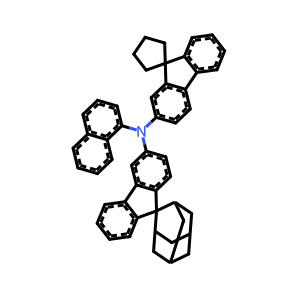 c1ccc2c(c1)-c1ccc(N(c3ccc4c(c3)-c3ccccc3C43C4CC5CC(C4)CC3C5)c3cccc4ccccc34)cc1C21CCCC1